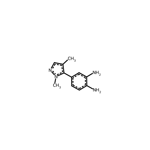 Cc1cnn(C)c1-c1ccc(N)c(N)c1